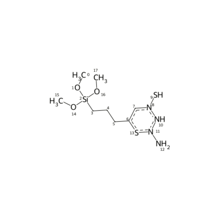 CO[Si](CCCc1cn(S)[nH]n(N)s1)(OC)OC